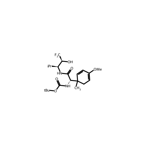 COC1=CCC(C)([C@H](NC(=O)OC(C)(C)C)C(=O)N[C@@H](C(C)C)[C@H](O)C(F)(F)F)C=C1